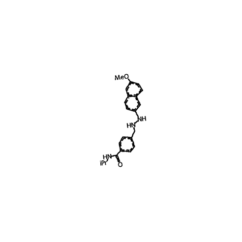 COc1ccc2cc(NNCc3ccc(C(=O)NC(C)C)cc3)ccc2c1